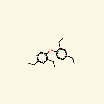 CCc1ccc(Oc2ccc(CC)cc2CC)c(CC)c1